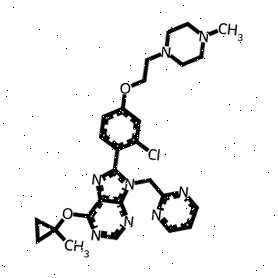 CN1CCN(CCOc2ccc(-c3nc4c(OC5(C)CC5)ncnc4n3Cc3ncccn3)c(Cl)c2)CC1